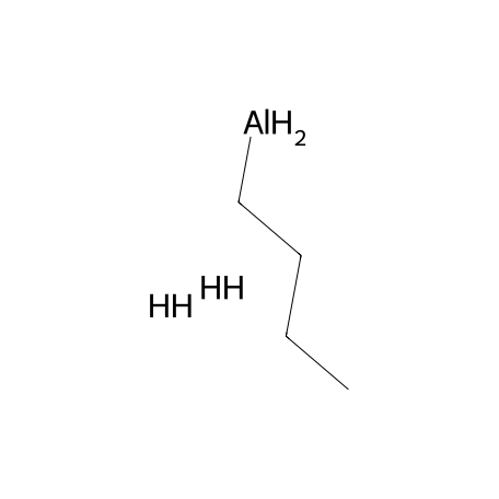 CCC[CH2][AlH2].[HH].[HH]